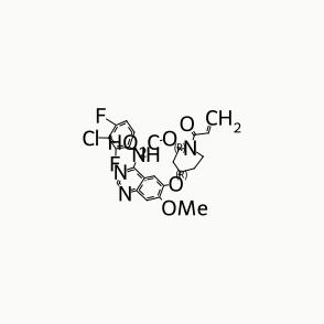 C=CC(=O)N1CC[C@@H](Oc2cc3c(Nc4ccc(F)c(Cl)c4F)ncnc3cc2OC)C[C@H]1OC(=O)O